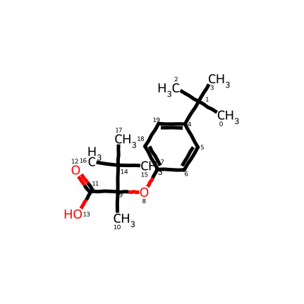 CC(C)(C)c1ccc(OC(C)(C(=O)O)C(C)(C)C)cc1